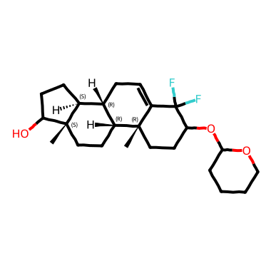 C[C@]12CCC(OC3CCCCO3)C(F)(F)C1=CC[C@@H]1[C@H]2CC[C@]2(C)C(O)CC[C@@H]12